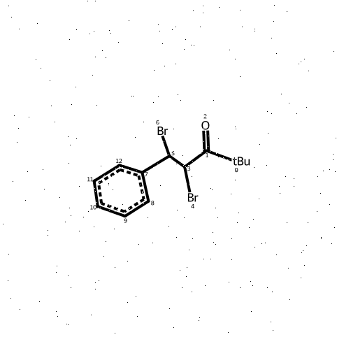 CC(C)(C)C(=O)C(Br)C(Br)c1ccccc1